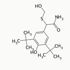 CC(C)(C)c1cc(C(SCO)C(N)=O)cc(C(C)(C)C)c1O